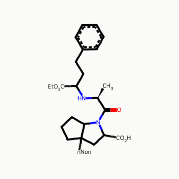 CCCCCCCCCC12CCCC1N(C(=O)[C@H](C)NC(CCc1ccccc1)C(=O)OCC)C(C(=O)O)C2